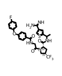 CC(NC(=O)[C@@H]1C[C@H](C(F)(F)F)CN1C(=O)CNC(=O)c1ccc(Oc2ccc(F)cc2)cc1)c1cc(C(=N)N)cs1